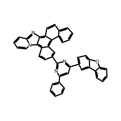 c1ccc(-c2cc(-c3ccc4oc5ccccc5c4c3)nc(-c3ccc4c(c3)c3c5ccccc5ccc3c3nc5ccccn5c43)n2)cc1